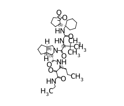 CCC[C@H](NC(=O)[C@@H]1[C@H]2CCC[C@H]2CN1C(=O)[C@@H](NC(=O)NC1([C@@H]2CCCS2(=O)=O)CCCCC1)C(C)(C)C)C(=O)C(=O)NCC